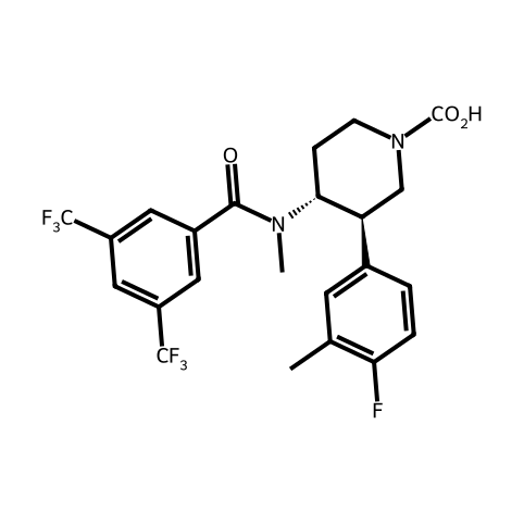 Cc1cc([C@@H]2CN(C(=O)O)CC[C@H]2N(C)C(=O)c2cc(C(F)(F)F)cc(C(F)(F)F)c2)ccc1F